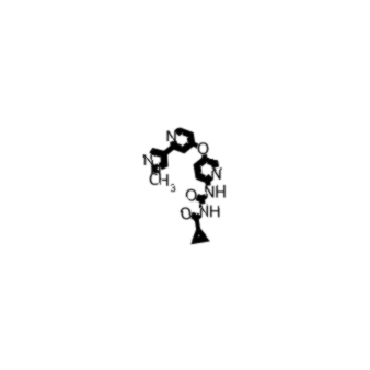 Cn1cc(-c2cc(Oc3ccc(NC(=O)NC(=O)C4CC4)nc3)ccn2)cn1